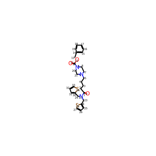 O=C(CCCCN1CCN(C(=O)OCc2ccccc2)CC1)N(Cc1cccs1)Cc1cccs1